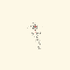 CC(C)C1=C(C2=CC=C3c4cc5c(-c6ccccc6)c6c(c(-c7ccccc7)c5cc4C4=CC=CC2C34)-c2ccc3c4ccc5c7c4c(c4ccc-6c2c43)CCC=7c2cc(-c3cc(F)cc(F)c3)ccc2-5)C(C(C)C)CC=C1